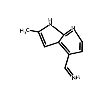 Cc1cc2c(C=N)ccnc2[nH]1